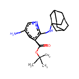 CC(C)(C)OC(=O)c1cc(N)cnc1NC12CC3CC(CC(C3)C1)C2